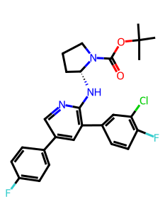 CC(C)(C)OC(=O)N1CCC[C@H]1Nc1ncc(-c2ccc(F)cc2)cc1-c1ccc(F)c(Cl)c1